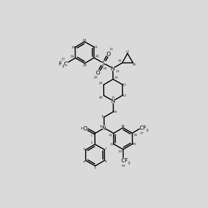 O=C(c1ccccc1)N(CCN1CCC(N(C2CC2)S(=O)(=O)c2cccc(C(F)(F)F)c2)CC1)c1cc(C(F)(F)F)cc(C(F)(F)F)c1